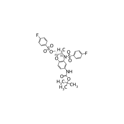 C[C@H]1[C@@H](COS(=O)(=O)c2ccc(F)cc2)Oc2ccc(NC(=O)OC(C)(C)C)cc2N1S(=O)(=O)c1ccc(F)cc1